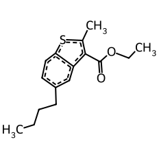 CCCCc1ccc2sc(C)c(C(=O)OCC)c2c1